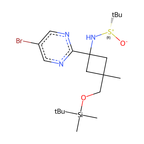 CC1(CO[Si](C)(C)C(C)(C)C)CC(N[S@@+]([O-])C(C)(C)C)(c2ncc(Br)cn2)C1